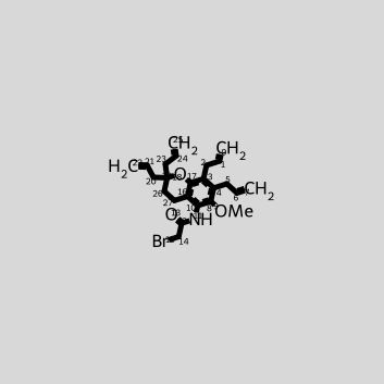 C=CCc1c(CC=C)c(OC)c(NC(=O)CBr)c2c1OC(CC=C)(CC=C)CC2